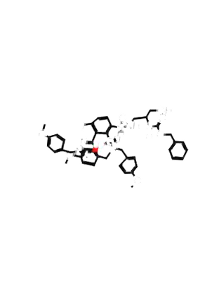 COc1ccc(CN(Cc2ccc(OC)cc2)S(=O)(=O)c2c(S(=O)(=O)NCC(CO)NC(=O)OCc3ccccc3)ccc(I)c2-c2nnn(Cc3ccc(OC)cc3)n2)cc1